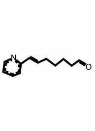 O=CCCCCC=Cc1ccccn1